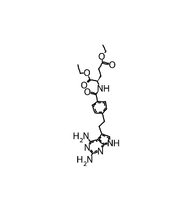 CCOC(=O)CC[C@@H](NC(=O)c1ccc(CCc2c[nH]c3nc(N)nc(N)c23)cc1)C(=O)OCC